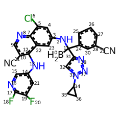 BC(Nc1cc(Cl)c2ncc(C#N)c(Nc3cnc(F)c(F)c3)c2c1)(c1cccc(C#N)c1)c1cn(C2CC2)nn1